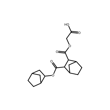 O=C(O)COC(=O)C1C2CCC(C2)C1C(=O)OC1CC2CCC1C2